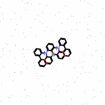 C1=CCC2C(=C1)B1c3ccccc3N(c3ccccc3C3=CCCC=C3)c3cccc(c31)N2c1ccccc1-c1ccccc1